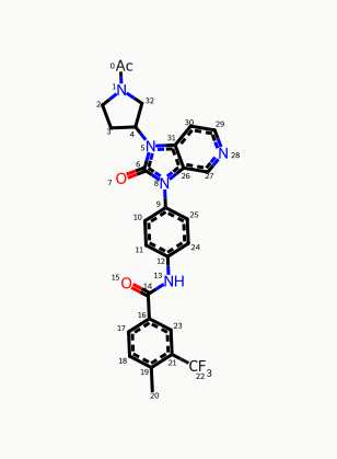 CC(=O)N1CCC(n2c(=O)n(-c3ccc(NC(=O)c4ccc(C)c(C(F)(F)F)c4)cc3)c3cnccc32)C1